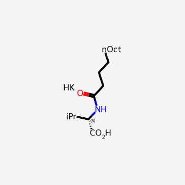 CCCCCCCCCCCC(=O)N[C@H](C(=O)O)C(C)C.[KH]